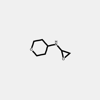 C1CC(NC2CO2)CCO1